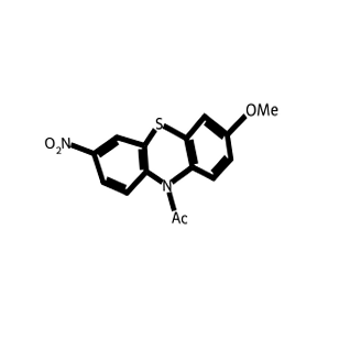 COc1ccc2c(c1)Sc1cc([N+](=O)[O-])ccc1N2C(C)=O